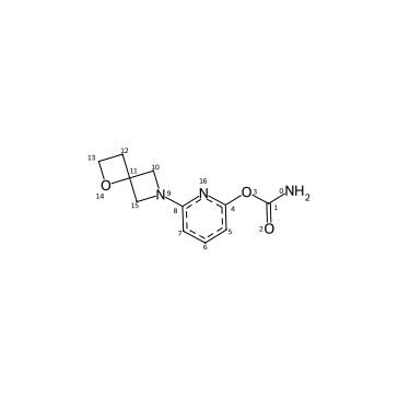 NC(=O)Oc1cccc(N2CC3(CCO3)C2)n1